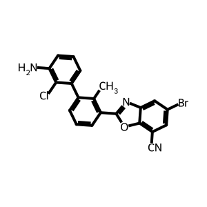 Cc1c(-c2nc3cc(Br)cc(C#N)c3o2)cccc1-c1cccc(N)c1Cl